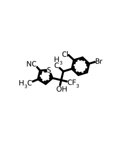 Cc1cc(C(O)(C(C)c2ccc(Br)cc2Cl)C(F)(F)F)sc1C#N